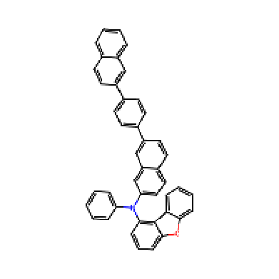 c1ccc(N(c2ccc3ccc(-c4ccc(-c5ccc6ccccc6c5)cc4)cc3c2)c2cccc3oc4ccccc4c23)cc1